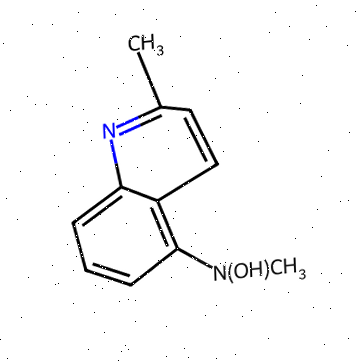 Cc1ccc2c(N(C)O)cccc2n1